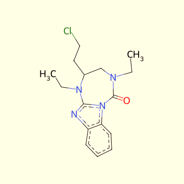 CCN1CC(CCCl)N(CC)c2nc3ccccc3n2C1=O